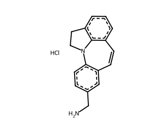 Cl.NCc1ccc2c(c1)C=Cc1cccc3c1N2CC3